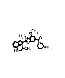 COc1cc(C(=O)N2CCC[C@@H](N)C2)cc2nc(-c3cc4cccc5c4n3C(C)CN5)n(C)c12